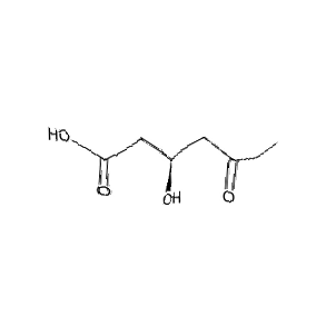 CC(=O)C[C@@H](O)CC(=O)O